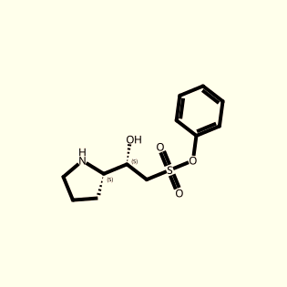 O=S(=O)(C[C@@H](O)[C@@H]1CCCN1)Oc1ccccc1